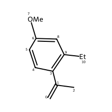 C=C(C)c1ccc(OC)cc1CC